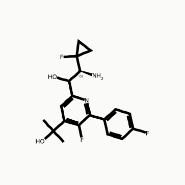 CC(C)(O)c1cc(C(O)[C@H](N)C2(F)CC2)nc(-c2ccc(F)cc2)c1F